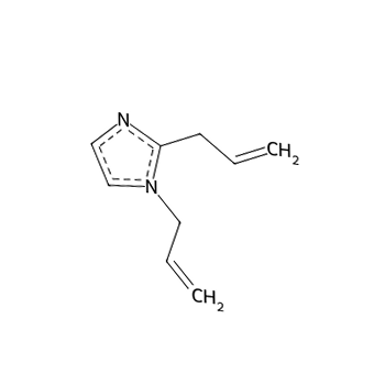 C=CCc1nccn1CC=C